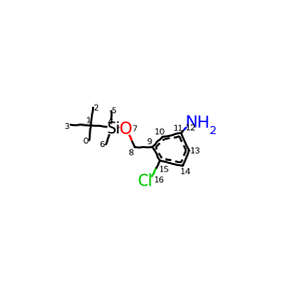 CC(C)(C)[Si](C)(C)OCc1cc(N)ccc1Cl